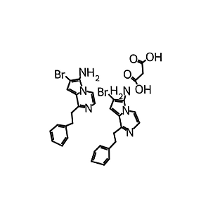 Nc1c(Br)cc2c(CCc3ccccc3)nccn12.Nc1c(Br)cc2c(CCc3ccccc3)nccn12.O=C(O)CC(=O)O